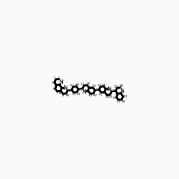 c1cnc2c(c1)ccc1ccc(-c3ccc(-c4ccc5cc(-c6ccc7nc(-c8ccnc9ccccc89)ccc7c6)ccc5n4)cc3)nc12